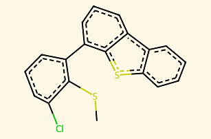 CSc1c(Cl)cccc1-c1cccc2c1sc1ccccc12